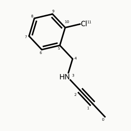 CC#CNCc1ccccc1Cl